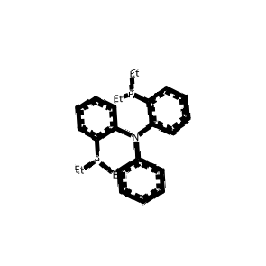 CCP(CC)c1ccccc1N(c1ccccc1)c1ccccc1P(CC)CC